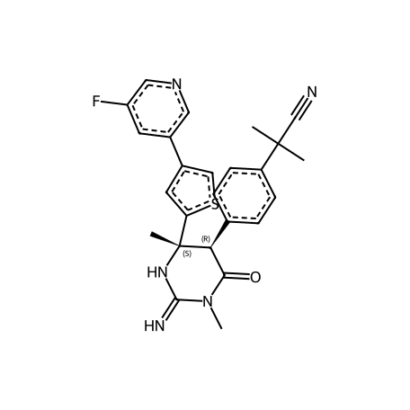 CN1C(=N)N[C@](C)(c2cc(-c3cncc(F)c3)cs2)[C@@H](c2ccc(C(C)(C)C#N)cc2)C1=O